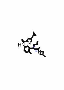 C=C/C=C(\C=C(/C)N1CC(C)C1)c1cc(NC(=C)C2=NCC(C3CC3)=C2)ccc1C